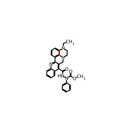 CCN1CCN(Cc2c(-c3ccccc3)nc3ccccc3c2C(=O)NN(C(=O)OC)c2ccccc2)CC1